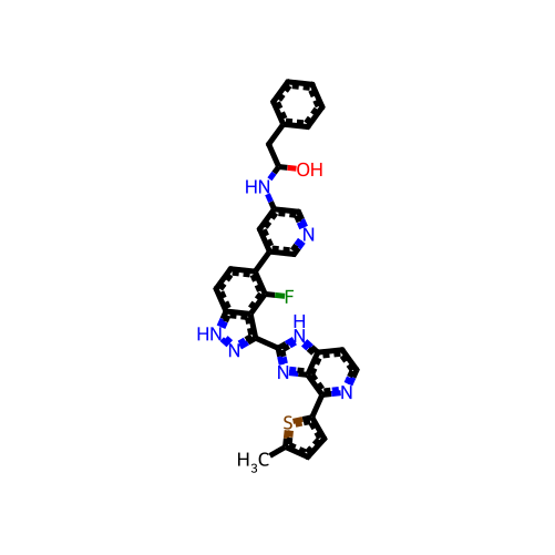 Cc1ccc(-c2nccc3[nH]c(-c4n[nH]c5ccc(-c6cncc(NC(O)Cc7ccccc7)c6)c(F)c45)nc23)s1